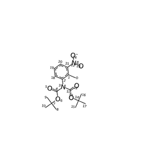 Cc1c(N(C(=O)OC(C)(C)C)C(=O)OC(C)(C)C)cccc1[N+](=O)[O-]